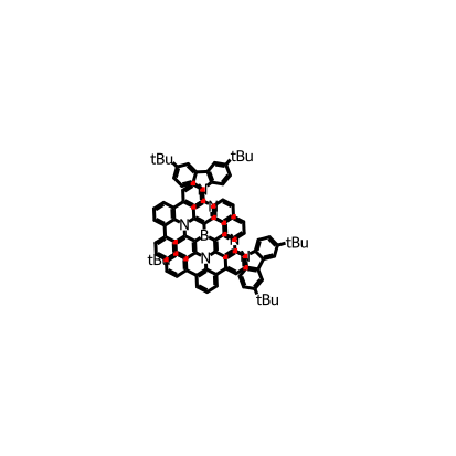 CC(C)(C)c1cc2c3c(c1)N(c1c(-c4ccccc4)cccc1-c1ccccc1)c1cc(-n4c5ccc(C(C)(C)C)cc5c5cc(C(C)(C)C)ccc54)nc(-c4ccccc4)c1B3c1c(cc(-n3c4ccc(C(C)(C)C)cc4c4cc(C(C)(C)C)ccc43)nc1-c1ccccc1)N2c1c(-c2ccccc2)cccc1-c1ccccc1